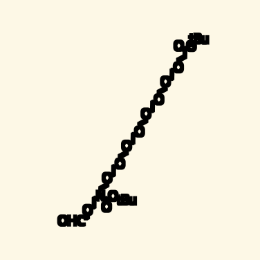 CC(C)(C)OC(=O)CCOCCOCCOCCOCCOCCOCCOCCOCCN(CCOCC=O)C(=O)OC(C)(C)C